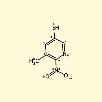 Cc1cc(S)cnc1[N+](=O)[O-]